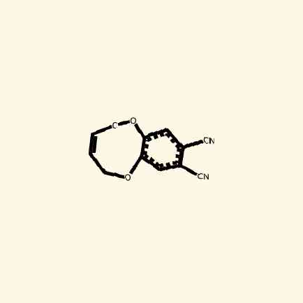 N#Cc1cc2c(cc1C#N)OC/C=C\CO2